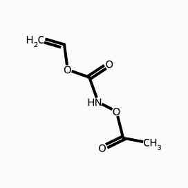 C=COC(=O)NOC(C)=O